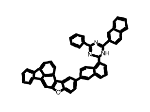 c1ccc(C2=NC(c3cccc4cc(-c5ccc6oc7cc8c9c(cccc9c7c6c5)-c5ccccc5-8)ccc34)NC(c3ccc4ccccc4c3)=N2)cc1